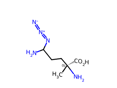 C[C@](N)(CCC(N)N=[N+]=[N-])C(=O)O